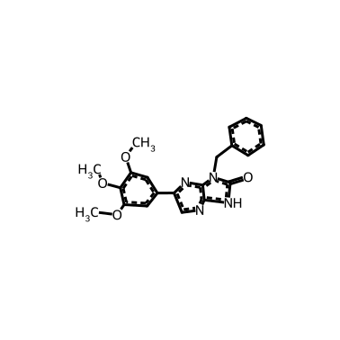 COc1cc(-c2cnc3[nH]c(=O)n(Cc4ccccc4)c3n2)cc(OC)c1OC